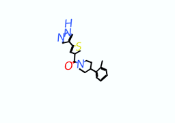 Cc1ccccc1C1CCN(C(=O)C2C=C(c3cn[nH]c3)SC2)CC1